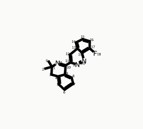 CC1(C)Cc2ccccc2C(c2cc3cccc(F)c3nn2)=N1